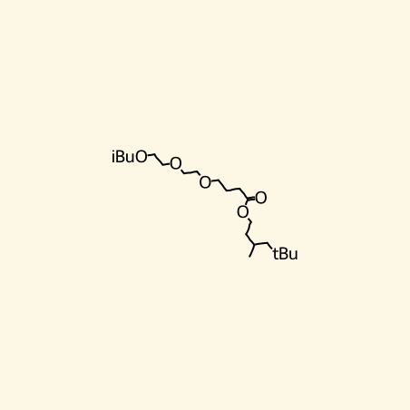 CC(C)COCCOCCOCCCC(=O)OCCC(C)CC(C)(C)C